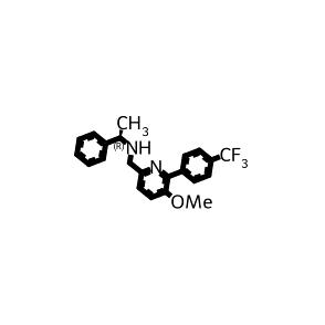 COc1ccc(CN[C@H](C)c2ccccc2)nc1-c1ccc(C(F)(F)F)cc1